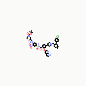 CC1(C)CCC(CN2CC=C(c3ccc(C(=O)N[S+]([O-])c4ccc(NCC5CN(C(=O)OC(C)(C)C)CCO5)c([N+](=O)[O-])c4)c(Oc4cnc5[nH]ccc5c4)c3)CC2)=C(c2ccc(Cl)cc2)C1